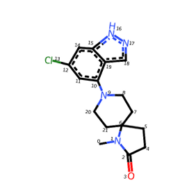 CN1C(=O)CCC12CCN(c1cc(Cl)cc3[nH]ncc13)CC2